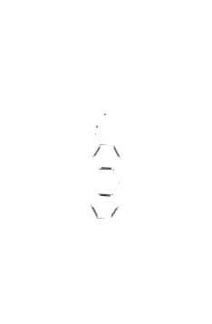 S=C=Nc1ccc(Cc2ccccc2)cc1